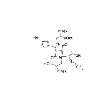 C=C/N=C(\SC(C)(C)C)C1=C2C(=O)N(CC(CCCCCC)CCCCCCCC)C(c3ccc(C(C)(C)C)s3)=C2C(=O)N1CC(CCCCCC)CCCCCCCC